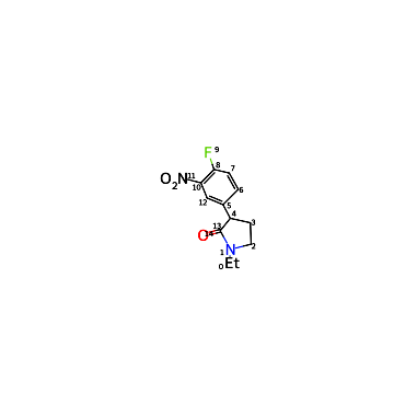 CCN1CCC(c2ccc(F)c([N+](=O)[O-])c2)C1=O